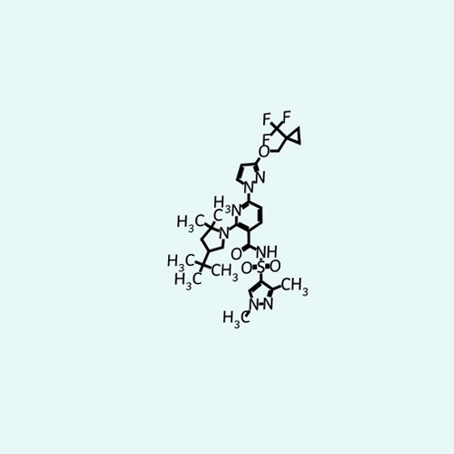 Cc1nn(C)cc1S(=O)(=O)NC(=O)c1ccc(-n2ccc(OCC3(C(F)(F)F)CC3)n2)nc1N1CC(C(C)(C)C)CC1(C)C